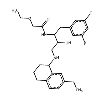 CCOCC(=O)NC(Cc1cc(F)cc(F)c1)C(O)CNC1CCCc2ccc(CC)cc21